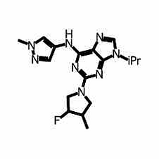 CC1CN(c2nc(Nc3cnn(C)c3)c3ncn(C(C)C)c3n2)CC1F